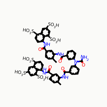 Cc1ccc(C(=O)Nc2ccc(S(=O)(=O)O)c3cc(S(=O)(=O)O)cc(S(=O)(=O)O)c23)cc1NC(=O)c1cccc(N(C(N)=O)c2cccc(C(=O)Nc3cc(C(=O)Nc4ccc(S(=O)(=O)O)c5cc(S(=O)(=O)O)cc(S(=O)(=O)O)c45)ccc3C)c2)c1